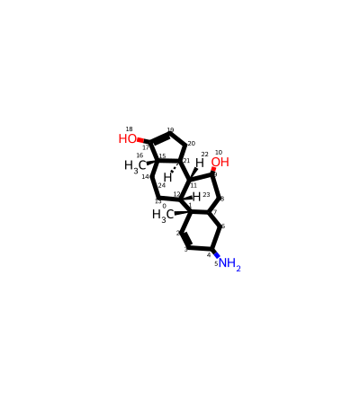 C[C@]12C=CC(N)CC1CC(O)[C@@H]1[C@H]2CC[C@]2(C)C(O)=CC[C@@H]12